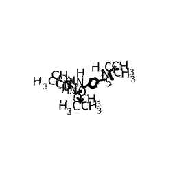 CC(C)(C)OC(=O)/N=C(/NCc1ccc(-c2nc(C(C)(C)C)cs2)cc1)NC(=O)OC(C)(C)C